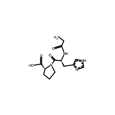 NCC(=O)N[C@@H](Cc1c[nH]cn1)C(=O)N1CCC[C@H]1C(=O)O